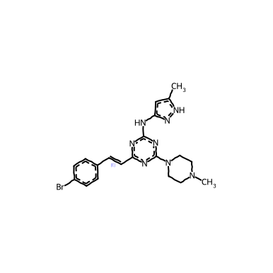 Cc1cc(Nc2nc(/C=C/c3ccc(Br)cc3)nc(N3CCN(C)CC3)n2)n[nH]1